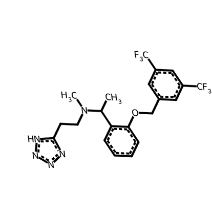 CC(c1ccccc1OCc1cc(C(F)(F)F)cc(C(F)(F)F)c1)N(C)CCc1nnn[nH]1